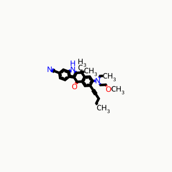 CCCC#Cc1cc2c(cc1N(CC)CCOC)C(C)(C)c1[nH]c3cc(C#N)ccc3c1C2=O